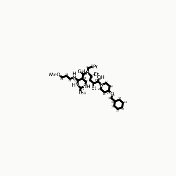 CC[C@@H](C[C@@H](CC)N(CC(C)C)C(O)C1CNC(C(C)(C)C)NC1NCCCOC)C(O)N1CCC(OCC2CCCCC2)CC1